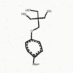 CCCCCCCCCc1ccc(OCC(CO)(CO)CO)cc1